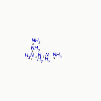 N.N.N.N.N.N